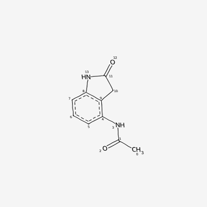 CC(=O)Nc1cccc2c1CC(=O)N2